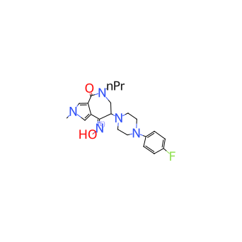 CCCN1CC(N2CCN(c3ccc(F)cc3)CC2)/C(=N/O)c2cn(C)cc2C1=O